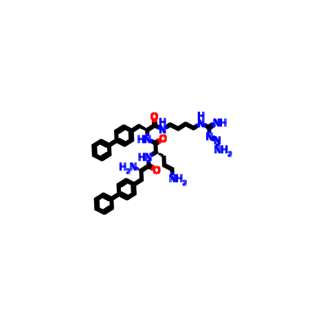 N=C(N=NN)NCCCCNC(=O)[C@H](Cc1ccc(-c2ccccc2)cc1)NC(=O)[C@H](CCCN)NC(=O)[C@@H](N)Cc1ccc(-c2ccccc2)cc1